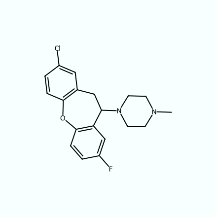 CN1CCN(C2Cc3cc(Cl)ccc3Oc3ccc(F)cc32)CC1